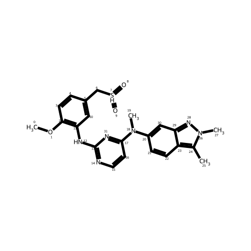 COc1ccc(C[SH](=O)=O)cc1Nc1nccc(N(C)c2ccc3c(C)n(C)nc3c2)n1